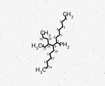 CCCCCCCC(P)C(CCCCCC)C(CC)CCC